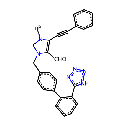 CCCN1CN(Cc2ccc(-c3ccccc3-c3nnn[nH]3)cc2)C(C=O)=C1C#Cc1ccccc1